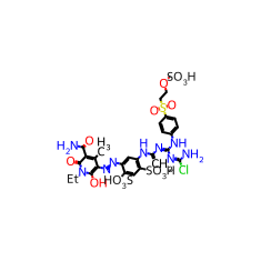 C=C(/N=C(\N=C(/N)Cl)Nc1ccc(S(=O)(=O)CCOS(=O)(=O)O)cc1)Nc1cc(/N=N/c2c(C)c(C(N)=O)c(=O)n(CC)c2O)c(S(=O)(=O)O)cc1S(=O)(=O)O